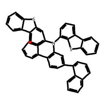 c1ccc(-c2ccc(-c3cccc4ccccc34)cc2N(c2ccc3c(c2)sc2ccccc23)c2cccc3c2sc2ccccc23)cc1